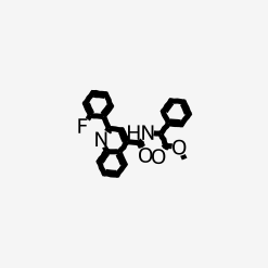 COC(=O)C(NC(=O)c1cc(-c2ccccc2F)nc2ccccc12)c1ccccc1